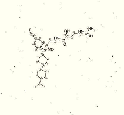 CC(C)=C1CCC(N2CCC(N3C(=O)C(CCNC(=O)[C@@H](O)CCCNC(=N)N)c4cc(C#N)ccc43)CC2)CC1